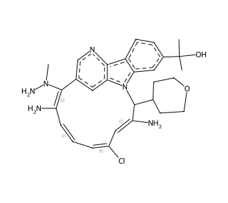 CN(N)/C1=C(N)/C=C\C=C(Cl)/C=C(\N)C(C2CCOCC2)n2c3cc(C(C)(C)O)ccc3c3ncc1cc32